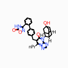 CCCc1c(Cc2ccc(-c3ccccc3-c3noc(=O)[nH]3)cc2)c(=O)n(C2[C@@H]3C[C@@H]4C[C@H]2C[C@@](O)(C4)C3)c2ncnn12